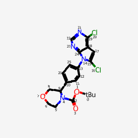 CC(C)(C)OC(=O)N1CCOCC1c1ccc(-n2c(Cl)cc3c(Cl)ncnc32)cc1